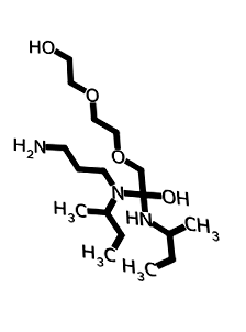 CCC(C)NC(O)(COCCOCCO)N(CCCN)C(C)CC